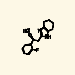 Cl.O=C(Cc1nc2c([nH]1)CCCC2)c1ccccc1F